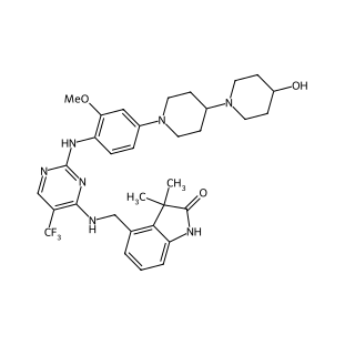 COc1cc(N2CCC(N3CCC(O)CC3)CC2)ccc1Nc1ncc(C(F)(F)F)c(NCc2cccc3c2C(C)(C)C(=O)N3)n1